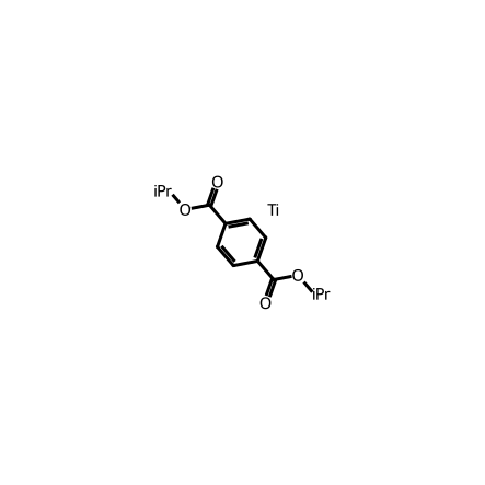 CC(C)OC(=O)c1ccc(C(=O)OC(C)C)cc1.[Ti]